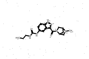 CCCNC(=O)Nc1ccc2[nH]nc(C(=O)N3CC4CC3CN4C)c2c1